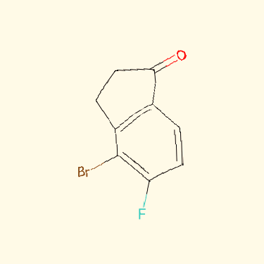 O=C1CCc2c1ccc(F)c2Br